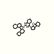 c1ccc2c(c1)ccc1c2c2c3ccccc3ccc2n1-c1nc(-c2cccc3c2oc2ccccc23)c2ccccc2n1